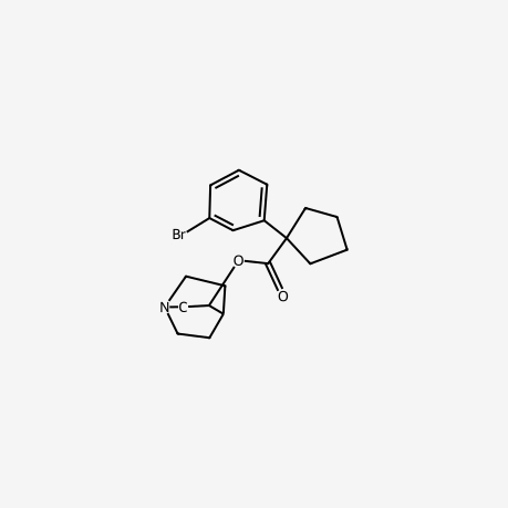 O=C(OC1CN2CCC1CC2)C1(c2cccc(Br)c2)CCCC1